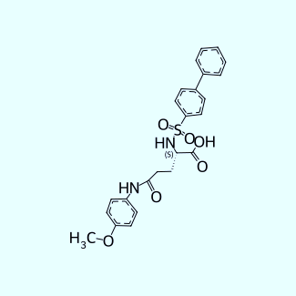 COc1ccc(NC(=O)CC[C@H](NS(=O)(=O)c2ccc(-c3ccccc3)cc2)C(=O)O)cc1